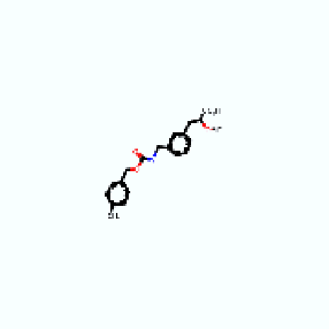 Cc1ccc(COC(=O)NCc2cccc(CC(OC(C)C)C(=O)O)c2)cc1